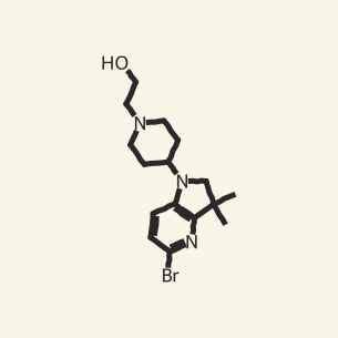 CC1(C)CN(C2CCN(CCO)CC2)c2ccc(Br)nc21